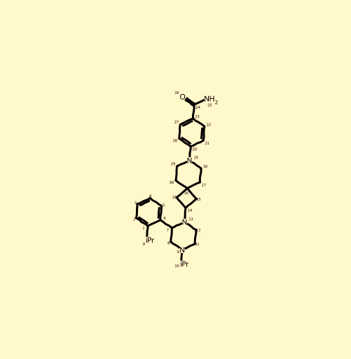 CC(C)c1ccccc1C1CN(C(C)C)CCN1C1CC2(CCN(c3ccc(C(N)=O)cc3)CC2)C1